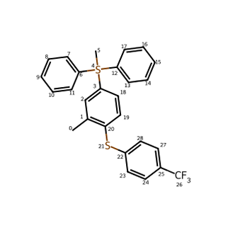 Cc1cc(S(C)(c2ccccc2)c2ccccc2)ccc1Sc1ccc(C(F)(F)F)cc1